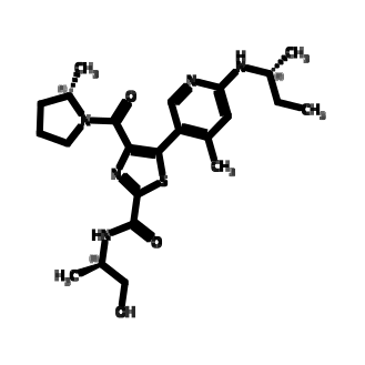 CC[C@@H](C)Nc1cc(C)c(-c2sc(C(=O)N[C@H](C)CO)nc2C(=O)N2CCC[C@@H]2C)cn1